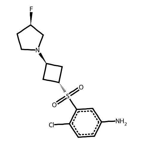 Nc1ccc(Cl)c(S(=O)(=O)[C@H]2C[C@H](N3CC[C@@H](F)C3)C2)c1